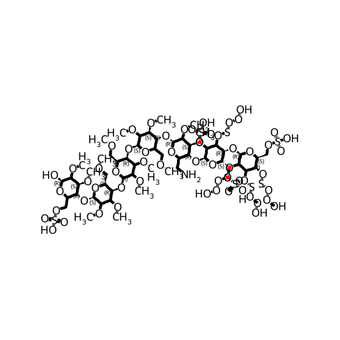 COCC1O[C@@H](O[C@H]2C(OC)C(OC)[C@@H](O[C@H]3C(OC)C(OC)[C@H](O[C@@H]4C(COS(=O)(=O)O)O[C@@H](O)C(OC)[C@H]4OC)O[C@H]3COC)O[C@H]2COC)C(OC)[C@@H](OC)[C@@H]1O[C@H]1OC(CN)[C@@H](O[C@@H]2O[C@@H](COS(=O)(=O)O)[C@@H](O[C@H]3O[C@@H](COS(=O)(=O)O)[C@@H](OSOOO)C(OSOOO)C3OSOOO)C(OSOOO)C2OS(=O)(=O)O)[C@H](OC)C1OC